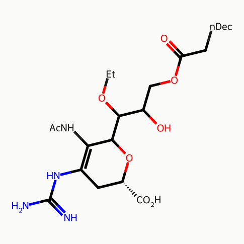 CCCCCCCCCCCC(=O)OCC(O)C(OCC)C1O[C@H](C(=O)O)CC(NC(=N)N)=C1NC(C)=O